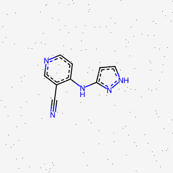 N#Cc1cnccc1Nc1cc[nH]n1